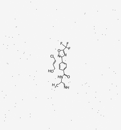 CC(C=N)NC(=O)c1ccc(-c2noc(C(F)(F)F)n2)cc1.OCC=CCl